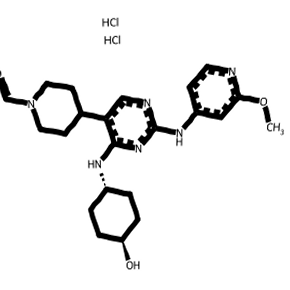 COc1cc(Nc2ncc(C3CCN(C=O)CC3)c(N[C@H]3CC[C@H](O)CC3)n2)ccn1.Cl.Cl